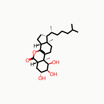 CC(C)CCC[C@@H](C)[C@H]1CC[C@H]2C3=C(CC[C@]12C)[C@]1(C)[C@H](C[C@@H](O)[C@H](O)[C@@H]1O)C(=O)O3